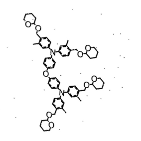 Cc1cc(N(c2ccc(Oc3ccc(N(c4ccc(COC5CCCCO5)c(C)c4)c4ccc(COC5CCCCO5)c(C)c4)cc3)cc2)c2ccc(COC3CCCCO3)c(C)c2)ccc1COC1CCCCO1